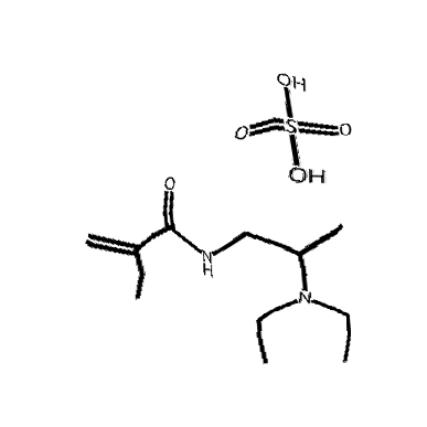 C=C(C)C(=O)NCC(C)N(CC)CC.O=S(=O)(O)O